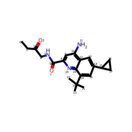 CCC(=O)CNC(=O)c1cc(N)c2cc(C3CC3)cc(C(C)(C)C)c2n1